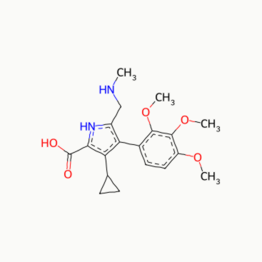 CNCc1[nH]c(C(=O)O)c(C2CC2)c1-c1ccc(OC)c(OC)c1OC